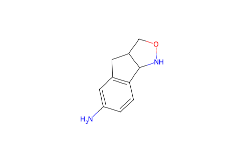 Nc1ccc2c(c1)CC1CONC21